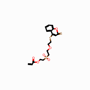 C=CC(=O)OCCS(=O)(=O)CCOCCSc1cc(=S)oc2ccccc12